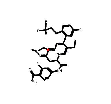 C=C/C=C(\C(=C/N(C)C(CC1=NN(C)CC1)C(=C)Nc1ccc(C(N)=O)c(F)c1)CC)c1cc(Cl)ccc1CCC(F)(F)F